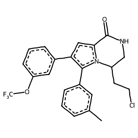 Cc1cccc(-c2c(-c3cccc(OC(F)(F)F)c3)cc3n2C(CCCl)CNC3=O)c1